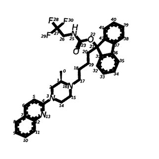 C[C@@H]1CN(c2ccc3ccccc3n2)CCN1CCCCC1(OC(=O)NCC(F)(F)F)c2ccccc2-c2ccccc21